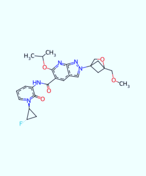 COCC12CC(n3cc4cc(C(=O)Nc5cccn([C@H]6C[C@@H]6F)c5=O)c(OC(C)C)nc4n3)(CO1)C2